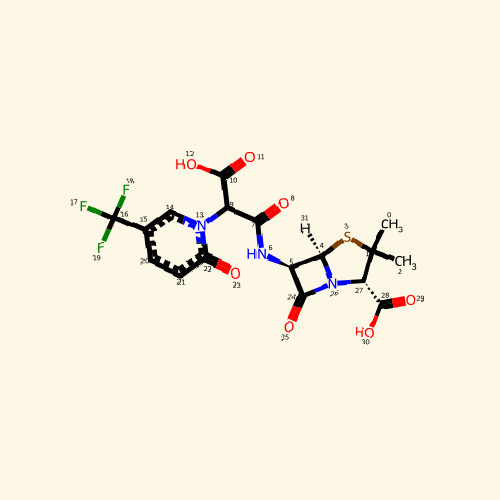 CC1(C)S[C@@H]2[C@H](NC(=O)C(C(=O)O)n3cc(C(F)(F)F)ccc3=O)C(=O)N2[C@H]1C(=O)O